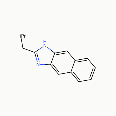 CC(C)Cc1nc2cc3ccccc3cc2[nH]1